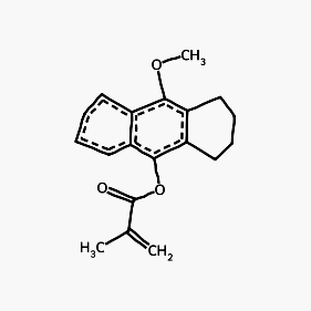 C=C(C)C(=O)Oc1c2c(c(OC)c3ccccc13)CCCC2